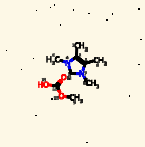 CC1=C(C)N(C)CN1C.COC(=O)O